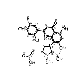 CN1CC[C@@H](c2c(O)cc(O)c3c(=O)cc(-c4cc(F)c(Cl)cc4Cl)oc23)[C@@H]1CO.O=[N+]([O-])O